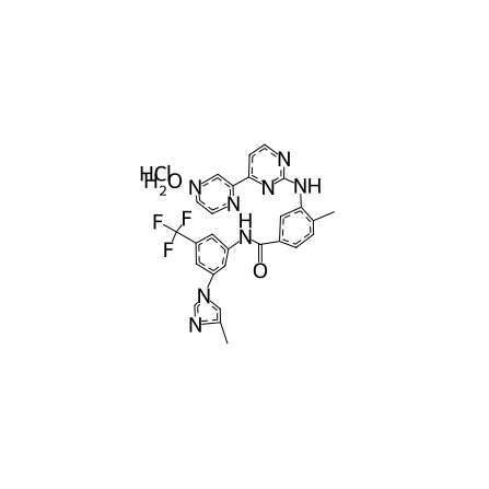 Cc1cn(-c2cc(NC(=O)c3ccc(C)c(Nc4nccc(-c5cnccn5)n4)c3)cc(C(F)(F)F)c2)cn1.Cl.O